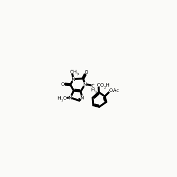 CC(=O)Oc1ccccc1C(=O)O.Cn1c(=O)c2c(ncn2C)n(C)c1=O